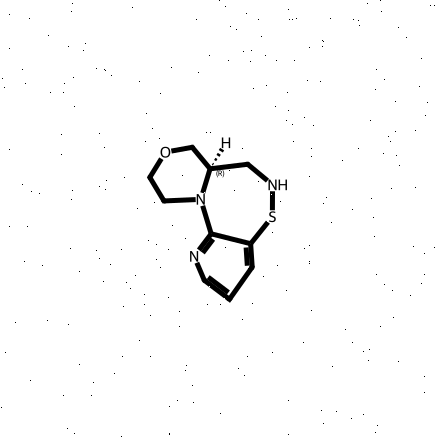 c1cnc2c(c1)SNC[C@@H]1COCCN21